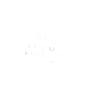 CCC(=O)N[C@@H](CSC(C)(C)C)C(=O)OCc1ccccc1